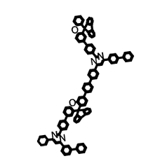 C1=CC(c2cc(-c3cccc(-c4ccccc4)c3)nc(-c3ccc(-c4ccc5c(c4)C4(c6ccc(-c7ccc(-c8ccc(-c9cc(-c%10ccc(-c%11ccccc%11)cc%10)nc(-c%10ccc(-c%11ccc%12c(c%11)C%11(c%13ccccc%13O%12)c%12ccccc%12-c%12ccccc%12%11)cc%10)n9)cc8)cc7)cc6O5)c5ccccc5-c5ccccc54)cc3)n2)=CCC1